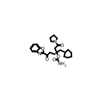 NC(=O)O[C@](CCC(=O)c1nc2ccccc2o1)(CC(=O)N1CCCC1)CC1CCCCC1